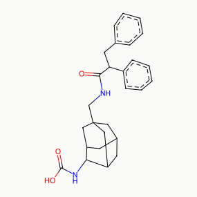 O=C(O)NC1C2CC3CC1CC(CNC(=O)C(Cc1ccccc1)c1ccccc1)(C3)C2